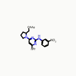 CCCc1cc(N2CCCC2COC)nc(Nc2cccc([N+](=O)[O-])c2)n1